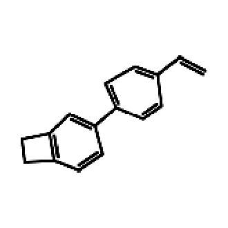 C=Cc1ccc(-c2ccc3c(c2)CC3)cc1